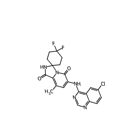 Cc1cc(Nc2ncnc3ccc(Cl)cc23)c(=O)n2c1C(=O)NC21CCC(F)(F)CC1